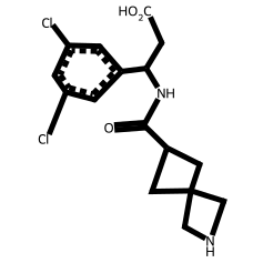 O=C(O)CC(NC(=O)C1CC2(CNC2)C1)c1cc(Cl)cc(Cl)c1